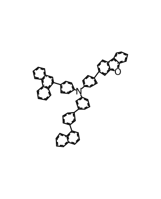 c1cc(-c2cccc(N(c3ccc(-c4ccc5c(c4)oc4ccccc45)cc3)c3ccc(-c4cc5ccccc5c5ccccc45)cc3)c2)cc(-c2cccc3ccccc23)c1